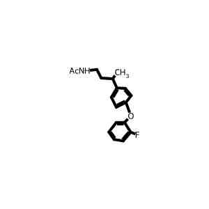 CC(=O)NCCC(C)c1ccc(Oc2ccccc2F)cc1